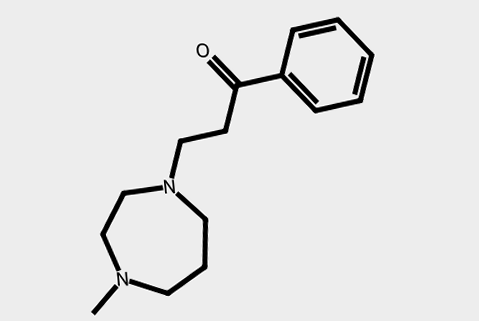 CN1CCCN(CCC(=O)c2ccccc2)CC1